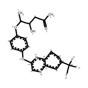 CC(=O)CC(O)C(C)Oc1ccc(Oc2cnc3cc(C(F)(F)F)ccc3n2)cc1